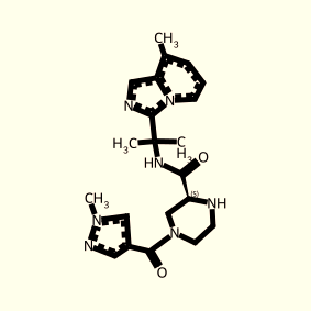 Cc1cccn2c(C(C)(C)NC(=O)[C@@H]3CN(C(=O)c4cnn(C)c4)CCN3)ncc12